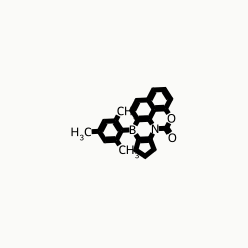 Cc1cc(C)c(B2C3=C(CCC3)N3C(=O)Oc4cccc5ccc2c3c45)c(C)c1